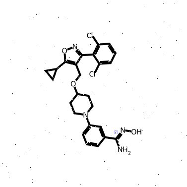 N/C(=N\O)c1cccc(N2CCC(OCc3c(-c4c(Cl)cccc4Cl)noc3C3CC3)CC2)c1